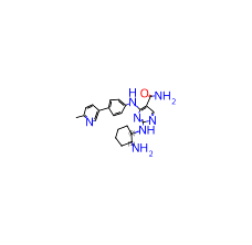 Cc1ccc(-c2ccc(Nc3nc(N[C@@H]4CCCC[C@@H]4N)ncc3C(N)=O)cc2)cn1